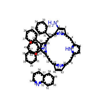 NC1=Cc2cc3ccc(cc4nc(cc5c(-c6ccccc6)c(-c6ccccc6)c(c(-c6ccccc6)c1n2)n5-c1ccccc1)C=C4)[nH]3.c1ccc2ncccc2c1